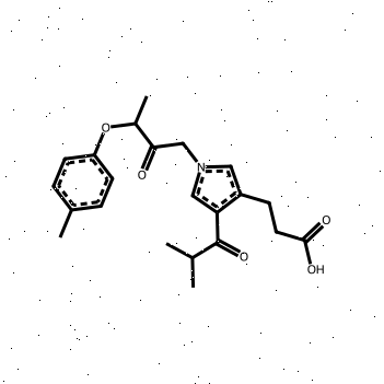 Cc1ccc(OC(C)C(=O)Cn2cc(CCC(=O)O)c(C(=O)C(C)C)c2)cc1